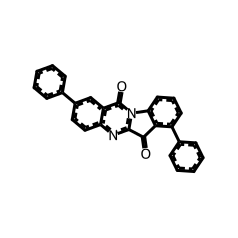 O=C1c2c(-c3ccccc3)cccc2-n2c1nc1ccc(-c3ccccc3)cc1c2=O